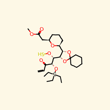 C=CC(=O)[C@@H](O[Si](CC)(CC)CC)[C@H](OS)[C@H]1OC2(CCCCC2)O[C@H]1[C@@H]1CCC[C@H](CC(=O)OC)O1